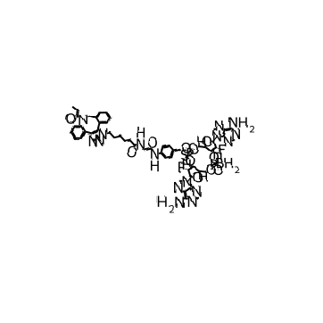 BP1(=O)OC[C@H]2O[C@@H](n3cnc4c(N)ncnc43)[C@H](F)[C@@H]2O[P@](=O)(SCc2ccc(NC(=O)CNC(=O)CCCCCn3nnc4c3-c3ccccc3CN(C(=O)CC)c3ccccc3-4)cc2)OC[C@H]2O[C@@H](n3cnc4c(N)ncnc43)[C@H](F)[C@@H]2O1